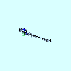 CCCCCCCCCCCCCCCCCCN(C)c1ccc2nc3ccccc3cc2c1Cl